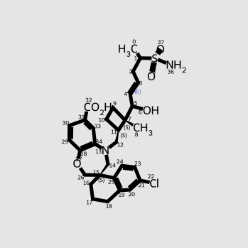 CC(C/C=C/C(O)[C@@]1(C)CC[C@@H]1CN1C[C@@]2(CCCc3cc(Cl)ccc32)COc2ccc(C(=O)O)cc21)S(N)(=O)=O